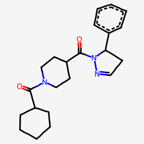 O=C(C1CCCCC1)N1CCC(C(=O)N2N=CCC2c2ccccc2)CC1